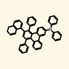 C1=Cc2c(cccc2-c2cc(-c3ccccc3)c3c4ccccc4c4cc(N(c5ccccc5)c5ccccc5)ccc4c3c2-c2ccccc2)CC1